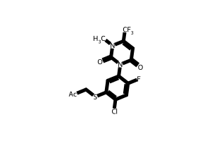 CC(=O)CSc1cc(-n2c(=O)cc(C(F)(F)F)n(C)c2=O)c(F)cc1Cl